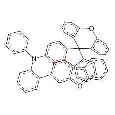 c1ccc(N(c2ccc3c(c2)-c2ccccc2C32c3ccccc3Oc3ccccc32)c2ccccc2-c2ccc3c(c2)oc2ccccc23)cc1